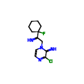 N=C(Cn1ccnc(Cl)c1=N)C1(F)CCCCC1